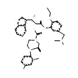 CCOc1ccc(CN(C)C)cc1NC(=O)[C@H](NC(=O)N1CCN(c2ccc(F)cc2C)C(=O)C1)[C@H](C)c1c[nH]c2ccccc12